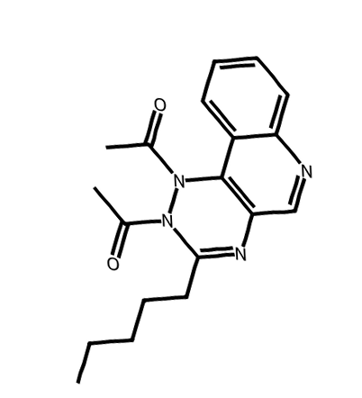 CCCCCC1=Nc2cnc3ccccc3c2N(C(C)=O)N1C(C)=O